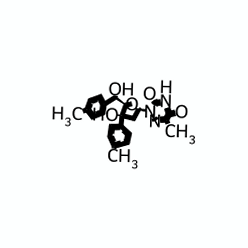 Cc1ccc(C(O)[C@H]2O[C@@H](n3nc(C)c(=O)[nH]c3=O)C[C@@]2(O)c2ccc(C)cc2)cc1